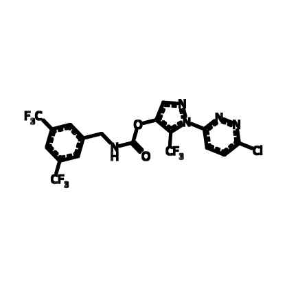 O=C(NCc1cc(C(F)(F)F)cc(C(F)(F)F)c1)Oc1cnn(-c2ccc(Cl)nn2)c1C(F)(F)F